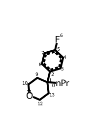 CCCC1(c2ccc(F)cc2)CCOCC1